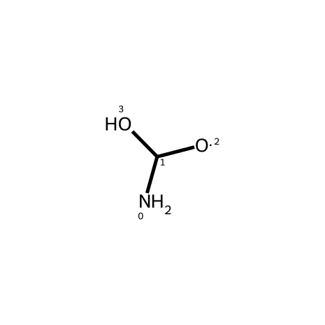 NC([O])O